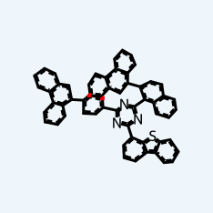 c1ccc2c(-c3nc(-c4ccc(-c5cc6ccccc6c6ccccc56)cc4)nc(-c4cccc5c4sc4ccccc45)n3)c(-c3cc4ccccc4c4ccccc34)ccc2c1